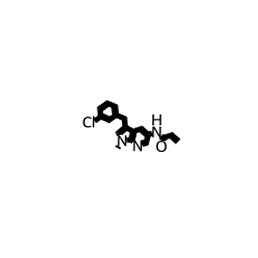 C=CC(=O)Nc1cnc2c(c1)c(Cc1cccc(Cl)c1)cn2C